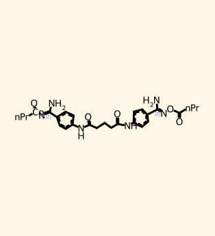 CCCC(=O)O/N=C(\N)c1ccc(NC(=O)CCCC(=O)Nc2ccc(/C(N)=[N]/[Co](=[O])[CH2]CC)cc2)cc1